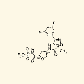 C[C@]1(C(=O)N[C@@H]2CO[C@H](C(=O)NS(=O)(=O)C(F)(F)F)C2)CC(c2cc(F)cc(F)c2)=NO1